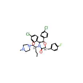 CCC[C@@H](C(=O)N1CCN(C)CC1)N1C(=O)[C@@H](Cc2ccc(F)cc2)O[C@H](c2ccc(Cl)cc2)[C@@H]1c1ccc(Cl)cc1